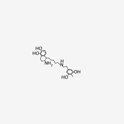 Cc1c(O)cc(CCNCCCCCCC2c3ccc(O)c(O)c3CCC2N)cc1O